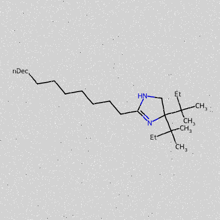 CCCCCCCCCCCCCCCCCC1=NC(C(C)(C)CC)(C(C)(C)CC)CN1